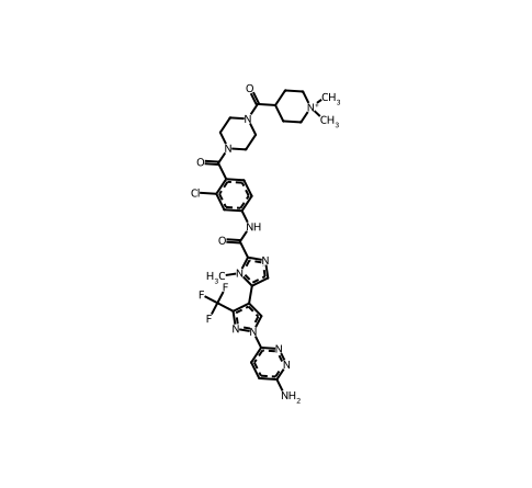 Cn1c(-c2cn(-c3ccc(N)nn3)nc2C(F)(F)F)cnc1C(=O)Nc1ccc(C(=O)N2CCN(C(=O)C3CC[N+](C)(C)CC3)CC2)c(Cl)c1